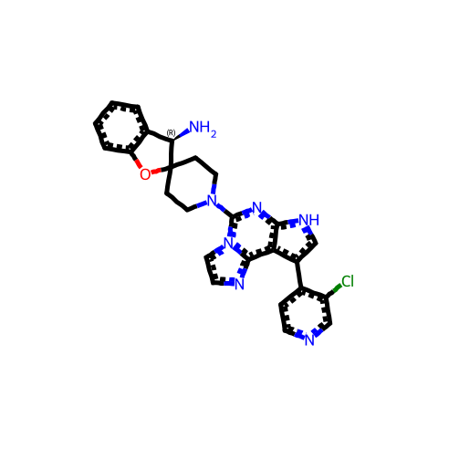 N[C@@H]1c2ccccc2OC12CCN(c1nc3[nH]cc(-c4ccncc4Cl)c3c3nccn13)CC2